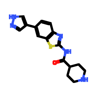 O=C(Nc1nc2ccc(-c3cn[nH]c3)cc2s1)C1CCNCC1